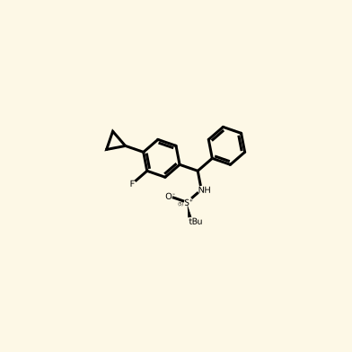 CC(C)(C)[S@@+]([O-])NC(c1ccccc1)c1ccc(C2CC2)c(F)c1